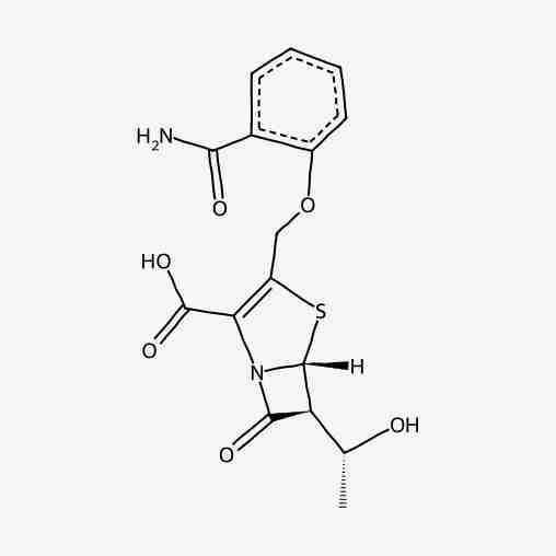 C[C@@H](O)[C@H]1C(=O)N2C(C(=O)O)=C(COc3ccccc3C(N)=O)S[C@H]12